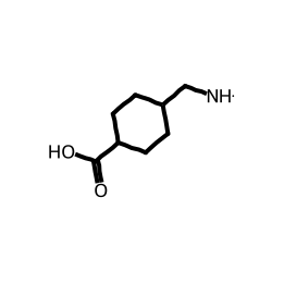 [NH]CC1CCC(C(=O)O)CC1